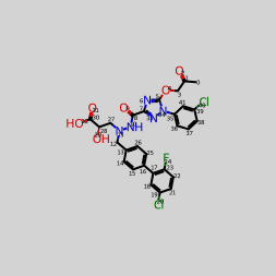 CC(=O)COc1nc(C(=O)NN(Cc2ccc(-c3cc(Cl)ccc3F)cc2)C[C@@H](O)C(=O)O)nn1-c1cccc(Cl)c1